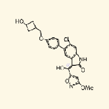 COc1cc(/C(O)=C2\C(=O)Nc3cc(Cl)c(-c4ccc(OCC5CC(O)C5)cc4)cc32)on1